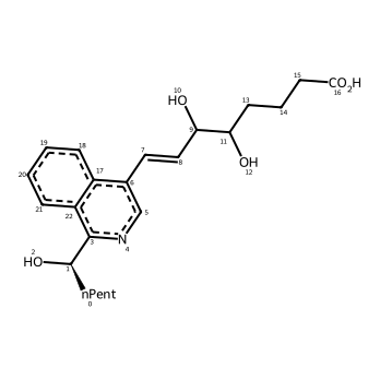 CCCCC[C@@H](O)c1ncc(/C=C/C(O)C(O)CCCC(=O)O)c2ccccc12